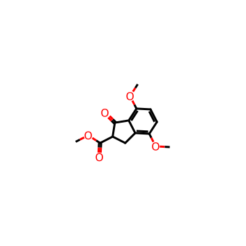 COC(=O)C1Cc2c(OC)ccc(OC)c2C1=O